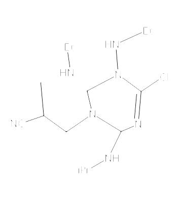 CCN[C@@H]1N(NCC)C(Cl)=NC(NC(C)C)N1CC(C)C#N